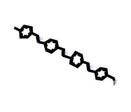 Cc1ccc(/C=C/c2ccc(/C=C/c3ccc(/C=C/c4ccc(CF)cc4)cc3)cc2)cc1